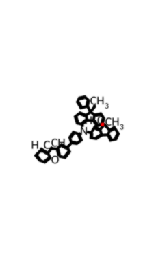 CCC1(c2ccccc2)c2ccccc2-c2c(N(c3ccc(-c4ccc5c(c4)C(C)(C)c4ccccc4O5)cc3)c3ccc4c(c3)C(C)(C)c3ccccc3-4)cccc21